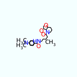 CC(CCNC(=O)c1ccc(N(C)C)cc1)CC(=O)N1CCCC2OCC(=O)C21